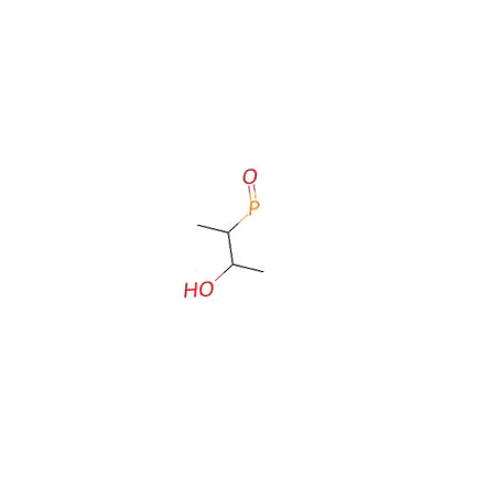 CC(O)C(C)P=O